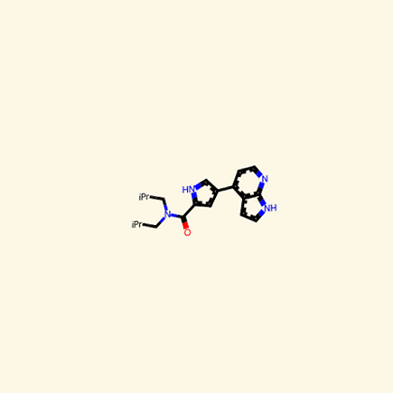 CC(C)CN(CC(C)C)C(=O)c1cc(-c2ccnc3[nH]ccc23)c[nH]1